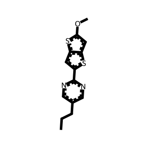 CCCc1cnc(-c2cc3sc(OC)cc3s2)nc1